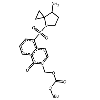 CCCCOC(=O)OCn1ccc2c(S(=O)(=O)N3CCC(N)C34CC4)cccc2c1=O